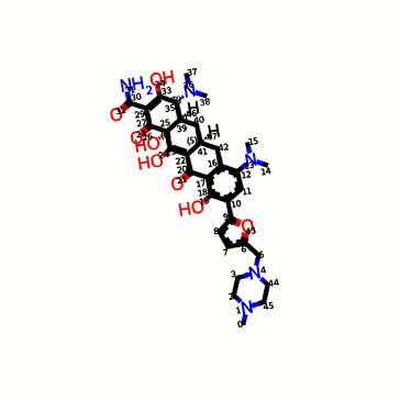 CN1CCN(Cc2ccc(-c3cc(N(C)C)c4c(c3O)C(=O)C3=C(O)[C@@]5(O)C(=O)C(C(N)=O)=C(O)[C@H](N(C)C)[C@H]5C[C@H]3C4)o2)CC1